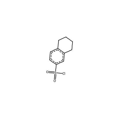 O=S(=O)(Cl)c1ccc2c(c1)CCCC2